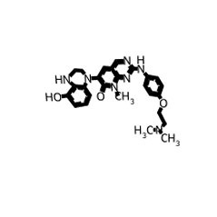 CN(C)CCOc1ccc(Nc2ncc3cc(N4CCNc5c(O)cccc54)c(=O)n(C)c3n2)cc1